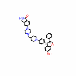 O=C1NCc2cc(N3CCN(CC4CCN(c5ccc([C@H]6c7ccc(O)cc7OC[C@H]6c6ccccc6)cc5)CC4)CC3)ccc21